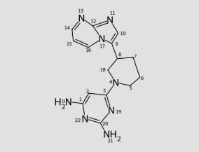 Nc1cc(N2CCCC(c3cnc4ncccn34)C2)nc(N)n1